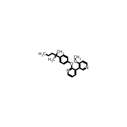 CCCC(C)(C)c1ccc(Oc2ncccc2-c2cnccc2OC)cc1